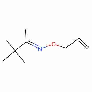 C=CCO/N=C(\C)C(C)(C)C